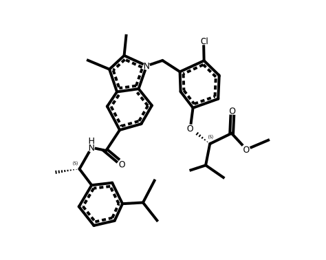 COC(=O)[C@@H](Oc1ccc(Cl)c(Cn2c(C)c(C)c3cc(C(=O)N[C@@H](C)c4cccc(C(C)C)c4)ccc32)c1)C(C)C